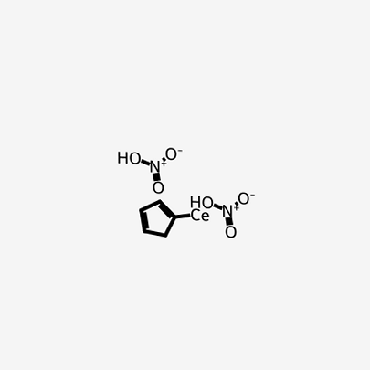 O=[N+]([O-])O.O=[N+]([O-])O.[Ce][C]1=CC=CC1